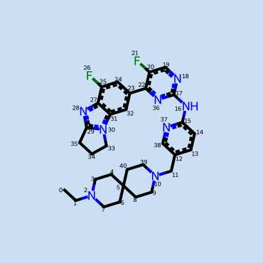 CCN1CCC2(CC1)CCN(Cc1ccc(Nc3ncc(F)c(-c4cc(F)c5nc6n(c5c4)CCC6)n3)nc1)CC2